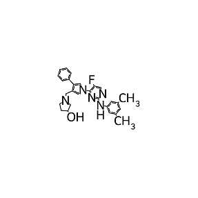 Cc1cc(C)cc(Nc2ncc(F)c(-n3cc(CN4CCC(O)C4)c(-c4ccccc4)c3)n2)c1